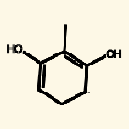 CC1=C(O)[CH]CC=C1O